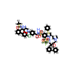 CCN(CCO[Si](c1ccccc1)(c1ccccc1)C(C)(C)C)CC[C@H](CSc1ccccc1)Nc1ccc(S(=O)(=O)NC(=O)c2ccc(N3CCC([C@@H](N[S@@+]([O-])C(C)(C)C)c4ccccc4-c4ccc(Cl)cc4)CC3)cc2)cc1S(=O)(=O)C(F)(F)F